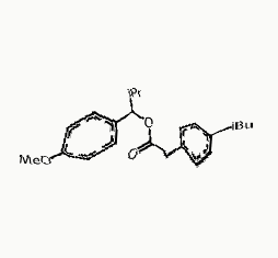 CCC(C)c1ccc(CC(=O)OC(c2ccc(OC)cc2)C(C)C)cc1